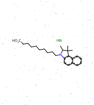 Br.CC1N(CCCCCCCCCC(=O)O)c2ccc3ccccc3c2C1(C)C